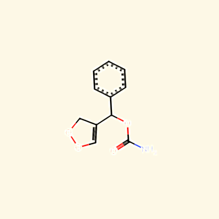 NC(=O)OC(C1=COOC1)c1ccccc1